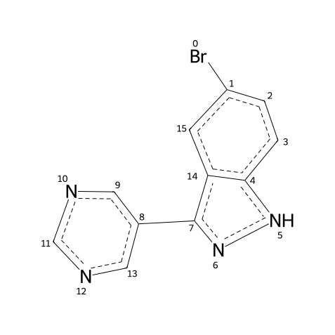 Brc1ccc2[nH]nc(-c3cncnc3)c2c1